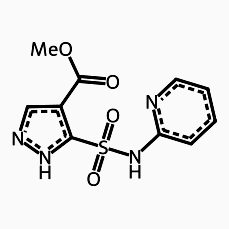 COC(=O)c1cn[nH]c1S(=O)(=O)Nc1ccccn1